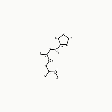 COC(C)COC(C)COC1CCCC1